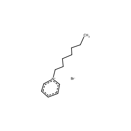 CCCCCCC[n+]1ccccc1.[Br-]